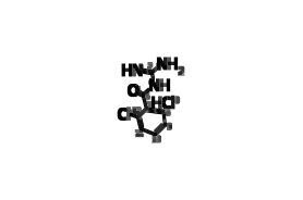 Cl.N=C(N)NC(=O)c1ccccc1Cl